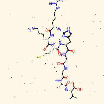 CSCC[C@H](NC(=O)[C@H](CCCCN)NC(=O)[C@@H](N)CCCNC(=N)N)C(=O)N[C@@H](Cc1c[nH]cn1)C(=O)NCC(=O)NCC(=O)N[C@@H](C)C(=O)N[C@H](C(=O)O)C(C)C